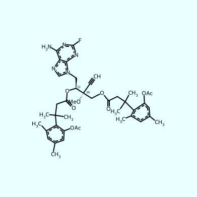 C#C[C@](COC(=O)CC(C)(C)c1c(C)cc(C)cc1OC(C)=O)(OC)[C@H](Cn1cnc2c(N)nc(F)nc21)OC(=O)CC(C)(C)c1c(C)cc(C)cc1OC(C)=O